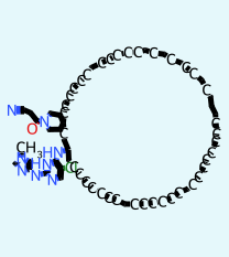 Cn1cnc(Nc2ncc(Cl)c(NC3CCCCCCCCCCCCCCCCCCCCCCCCCCCCCCCCCCCCCCCCCCCCCCCCC4(CC3)CCN(C(=O)CC#N)CC4)n2)c1